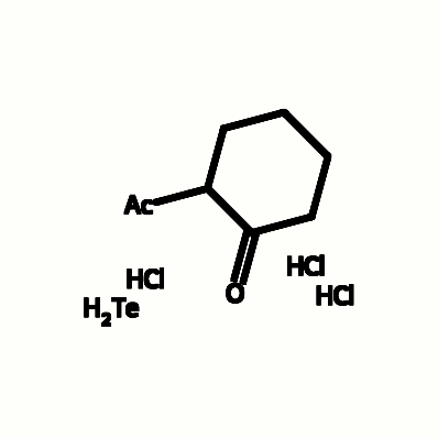 CC(=O)C1CCCCC1=O.Cl.Cl.Cl.[TeH2]